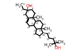 CC[C@]1(O)CC[C@@]2(C)C(=CCC3C2CC[C@@]2(C)C3CC[C@@H]2CCCC(C)(C)O)C1